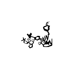 CC(C)(C)OC(=O)N1CCCC1COc1cc(NC(=O)c2cccnc2NCc2ccc(F)cc2)ccc1C(C)(C)C